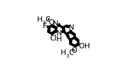 COc1cc2cc3c(Nc4cc(OC)c(F)cc4Cl)c(C#N)cnc3cc2cc1O